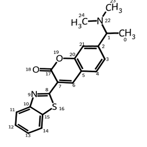 CC(c1ccc2cc(-c3nc4ccccc4s3)c(=O)oc2c1)N(C)C